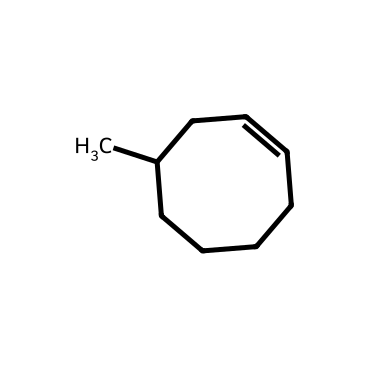 CC1C/C=C\CCCC1